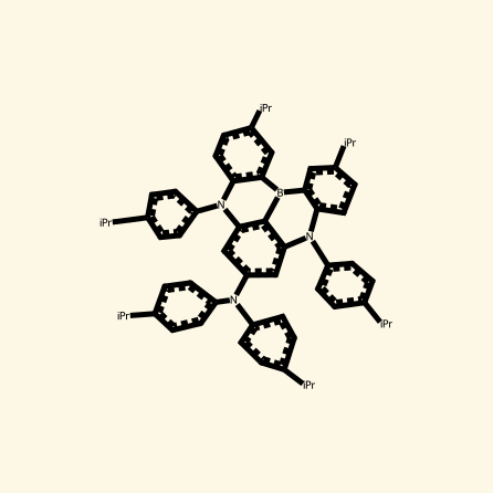 CC(C)c1ccc(N(c2ccc(C(C)C)cc2)c2cc3c4c(c2)N(c2ccc(C(C)C)cc2)c2ccc(C(C)C)cc2B4c2cc(C(C)C)ccc2N3c2ccc(C(C)C)cc2)cc1